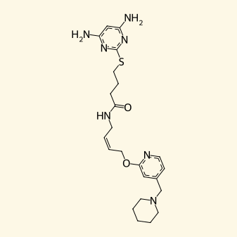 Nc1cc(N)nc(SCCCC(=O)NC/C=C\COc2cc(CN3CCCCC3)ccn2)n1